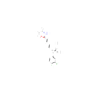 CC(C)C(C)NC(=O)C=CC=C[C@H]1[C@H](c2ccc(Cl)c(Cl)c2)C1(C)C